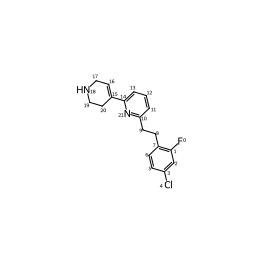 Fc1cc(Cl)ccc1CCc1cccc(C2=CCNCC2)n1